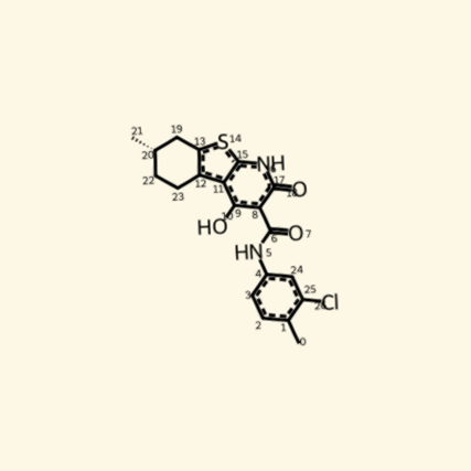 Cc1ccc(NC(=O)c2c(O)c3c4c(sc3[nH]c2=O)C[C@@H](C)CC4)cc1Cl